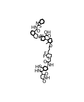 CNc1cc(NC(=O)CN2CCC(CCCOc3cccc(-c4ccc(N5CCc6cccc(C(=O)Nc7nc8ccccc8s7)c6C5)nc4C(=O)O)c3C)C(F)(F)C2)ccc1C(=N)C1CCC(=O)NC1=O